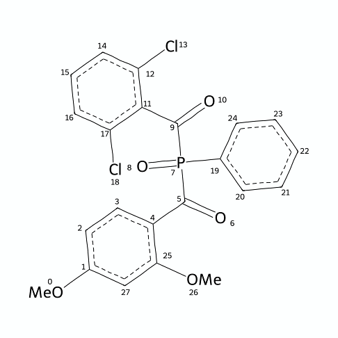 COc1ccc(C(=O)P(=O)(C(=O)c2c(Cl)cccc2Cl)c2ccccc2)c(OC)c1